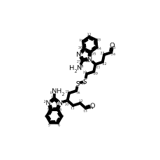 Nc1nc2ccccc2n1C(CCC=O)CCSSCCC(CCC=O)n1c(N)nc2ccccc21